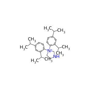 CC(C)c1ccc([N+]2(c3ccc(C(C)C)cc3C(C)C)CCNC2)c(C(C)C)c1